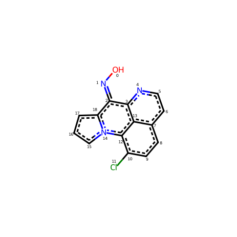 O/N=c1\c2nccc3ccc(Cl)c(c32)n2cccc12